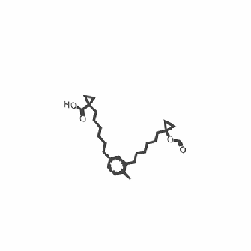 Cc1ccc(CCCCCCC2(C(=O)O)CC2)cc1CCCCCCC1(OC=O)CC1